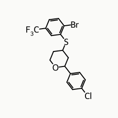 FC(F)(F)c1ccc(Br)c(SC2CCOC(c3ccc(Cl)cc3)C2)c1